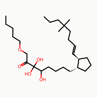 CCCCCOCC(=O)C(O)(O)C(O)CCCC[C@H]1CCC[C@@H]1C=CCCC(C)(C)CCC